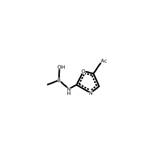 CB(O)Nc1ncc(C(C)=O)o1